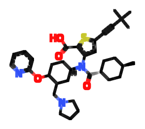 CC(C)(C)C#Cc1cc(N(C(=O)[C@H]2CC[C@H](C)CC2)[C@@H]2CCC(Oc3ccccn3)C(CN3CCCC3)C2)c(C(=O)O)s1